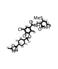 CSc1cc(C)[nH]c(=O)c1CNC(=O)c1cc(Cl)c2c(c1C)OC(C)(C1CCC(c3nnc(C)o3)CC1)O2